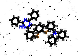 c1ccc(C2=NC(c3ccccc3)NC(c3cccc4sc5c(ccc6c7cccc(-n8c9ccccc9c9ccccc98)c7sc65)c34)=N2)cc1